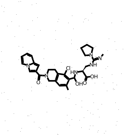 C/N=C(/NC[C@H](NC(O)c1c(C)cc2c(c1Cl)CCN(C(=O)c1cc3ccccn3c1)C2)C(=O)O)N1CCCC1